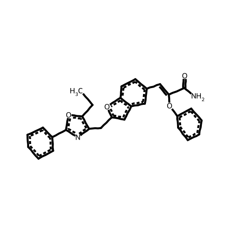 CCc1oc(-c2ccccc2)nc1Cc1cc2cc(C=C(Oc3ccccc3)C(N)=O)ccc2o1